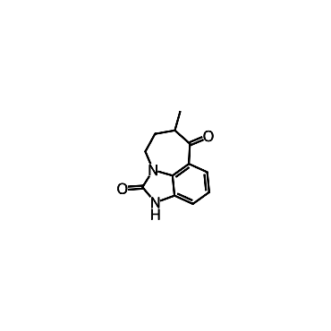 CC1CCn2c(=O)[nH]c3cccc(c32)C1=O